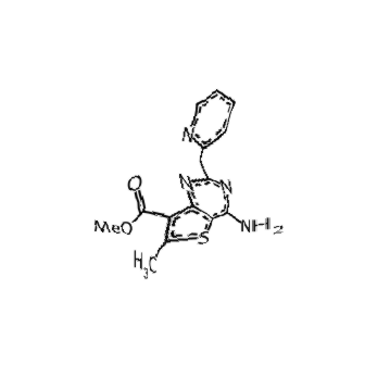 COC(=O)c1c(C)sc2c(N)nc(-c3ccccn3)nc12